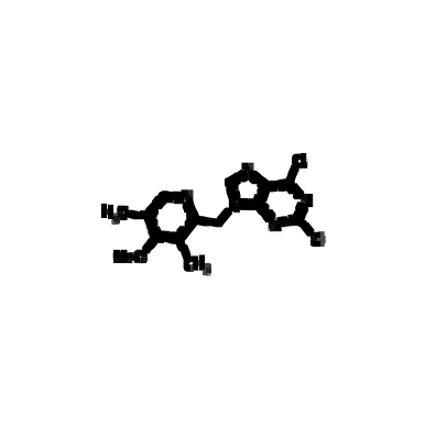 COc1c(C)cnc(Cn2cnc3c(Cl)nc(Cl)nc32)c1C